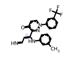 Cc1cccc(N/C(=C\C=N)c2nn(-c3cccc(C(F)(F)F)c3)ccc2=O)c1